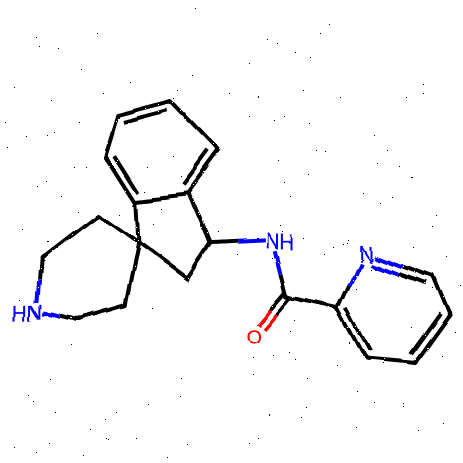 O=C(NC1CC2(CCNCC2)c2ccccc21)c1ccccn1